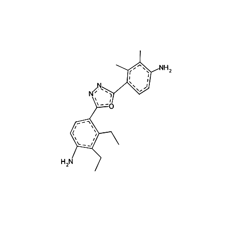 CCc1c(N)ccc(-c2nnc(-c3ccc(N)c(C)c3C)o2)c1CC